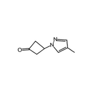 Cc1cnn(C2CC(=O)C2)c1